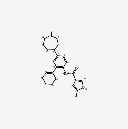 Cc1cc(C(=O)Nc2ccc(C3CCCNCC3)cc2C2=CCCCC2)no1